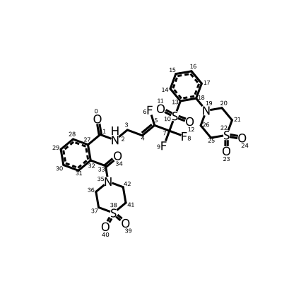 O=C(NC/C=C(\F)C(F)(F)S(=O)(=O)c1ccccc1N1CCS(=O)(=O)CC1)c1ccccc1C(=O)N1CCS(=O)(=O)CC1